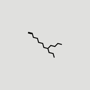 C=CCCCCCC(CCC)CCCC